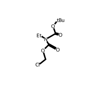 CCN(C(=O)OCCl)C(=O)OC(C)(C)C